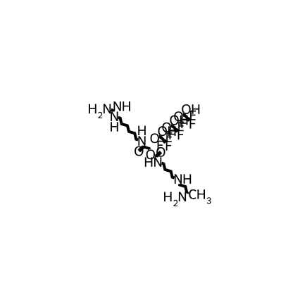 C[C@@H](N)CCNCCCCNC(=O)OCC(=O)NCCCCCCNC(=N)N.O=C(O)C(F)(F)F.O=C(O)C(F)(F)F.O=C(O)C(F)(F)F